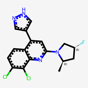 C[C@@H]1C[C@@H](F)CN1c1cc(-c2cn[nH]c2)c2ccc(Cl)c(Cl)c2n1